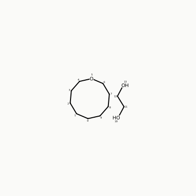 C1CCCCOCCCC1.OCCO